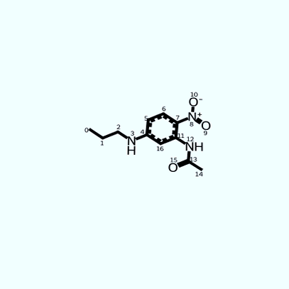 CCCNc1ccc([N+](=O)[O-])c(NC(C)=O)c1